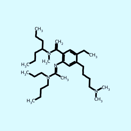 C=C(c1cc(CC)c(CCCCN(C)C)cc1/N=C(\C)N(CCC)CCCC)N(C)C(CCC)CCC